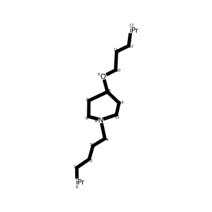 CC(C)CCCCN1CCC(OCCCC(C)C)CC1